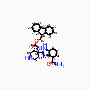 NC(=O)c1cccc2[nH]c(C3(NC(=O)OCC4c5ccccc5-c5ccccc54)CCNCC3)nc12